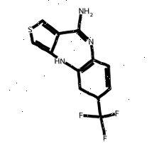 NC1=NC2=C(CC(C(F)(F)F)C=C2)Nc2cscc21